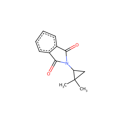 CC1(C)CC1N1C(=O)c2ccccc2C1=O